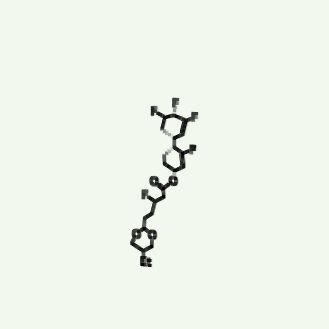 CCC1COC(CCC(F)CC(=O)O[C@H]2C=C(F)[C@@H]([C@H]3C=C(F)[C@@H](F)C(F)C3)CC2)OC1